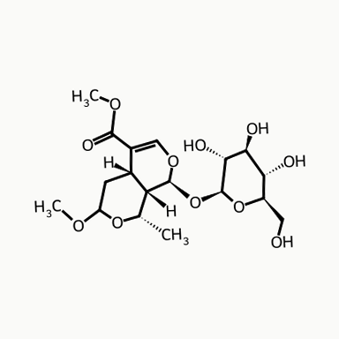 COC(=O)C1=CO[C@@H](O[C@@H]2O[C@H](CO)[C@@H](O)[C@H](O)[C@H]2O)[C@@H]2[C@H](C)OC(OC)C[C@H]12